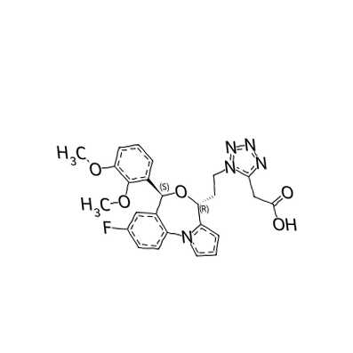 COc1cccc([C@H]2O[C@H](CCn3nnnc3CC(=O)O)c3cccn3-c3ccc(F)cc32)c1OC